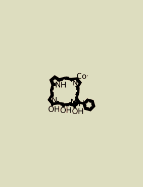 OC1=Cc2cc3ccc(cc4nc(cc5c(-c6ccccc6)c(O)c(c(O)c1n2)n5O)C=C4)[nH]3.[Co]